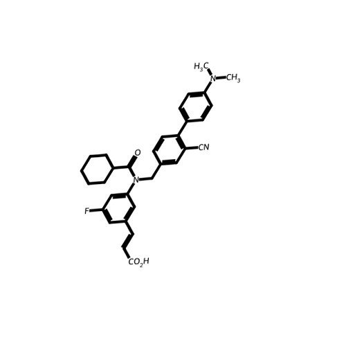 CN(C)c1ccc(-c2ccc(CN(C(=O)C3CCCCC3)c3cc(F)cc(/C=C/C(=O)O)c3)cc2C#N)cc1